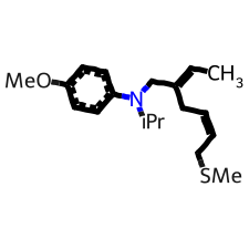 C/C=C(\C/C=C\CSC)CN(c1ccc(OC)cc1)C(C)C